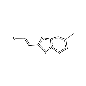 Cc1ccc2nc(C=CBr)sc2c1